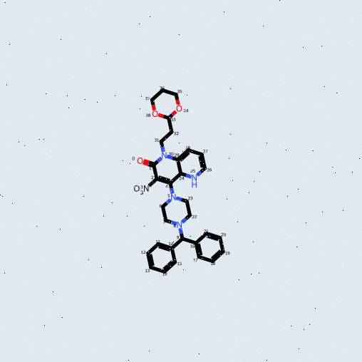 O=C1C([N+](=O)[O-])=C(N2CCN(C(c3ccccc3)c3ccccc3)CC2)C2NC=CC=C2N1CCC1OCCCO1